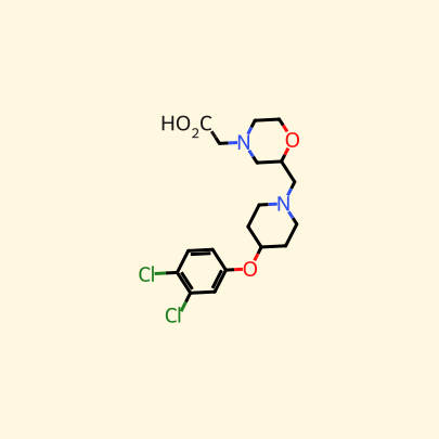 O=C(O)CN1CCOC(CN2CCC(Oc3ccc(Cl)c(Cl)c3)CC2)C1